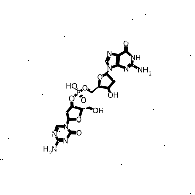 Nc1ncn(C2CC(OP(=O)(O)OC[C@H]3O[C@@H](n4cnc5c(=O)[nH]c(N)nc54)CC3O)[C@@H](CO)O2)c(=O)n1